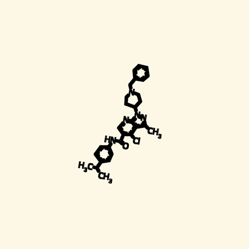 Cc1nn(C2CCN(Cc3ccccc3)CC2)c2ncc(C(=O)Nc3ccc(C(C)C)cc3)c(Cl)c12